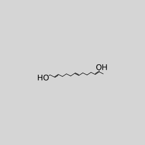 C/C(O)=C/CCC/C=C/CCC/C=C/CO